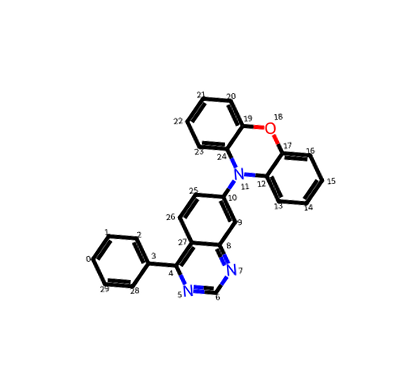 c1ccc(-c2ncnc3cc(N4c5ccccc5Oc5ccccc54)ccc23)cc1